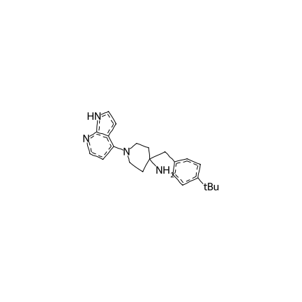 CC(C)(C)c1ccc(CC2(N)CCN(c3ccnc4[nH]ccc34)CC2)cc1